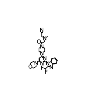 CN(CC#N)CC(=O)N1CCN(c2cc(N3CCOCC3)nc(-n3c(C(F)F)nc4ccccc43)n2)CC1